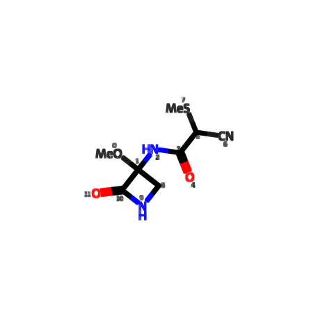 COC1(NC(=O)C(C#N)SC)CNC1=O